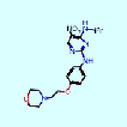 CC(C)Nc1nc(Nc2ccc(OCCN3CCOCC3)cc2)ncc1[N+](=O)[O-]